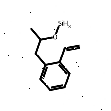 C=Cc1ccccc1CC(C)O[SiH3]